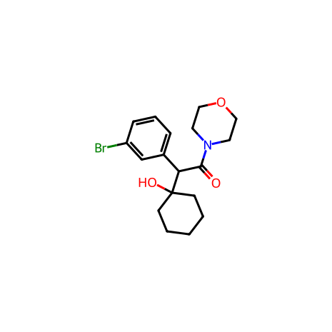 O=C(C(c1cccc(Br)c1)C1(O)CCCCC1)N1CCOCC1